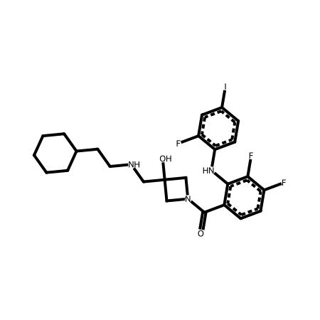 O=C(c1ccc(F)c(F)c1Nc1ccc(I)cc1F)N1CC(O)(CNCCC2CCCCC2)C1